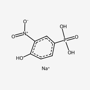 O=[N+]([O-])c1cc(P(=O)(O)O)ccc1O.[Na+]